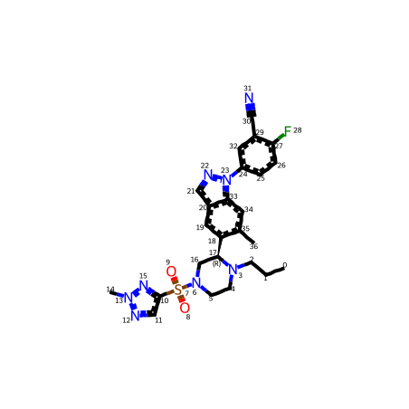 CCCN1CCN(S(=O)(=O)c2cnn(C)n2)C[C@H]1c1cc2cnn(-c3ccc(F)c(C#N)c3)c2cc1C